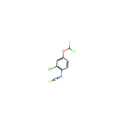 FC(F)Oc1ccc(N=C=S)c(Cl)c1